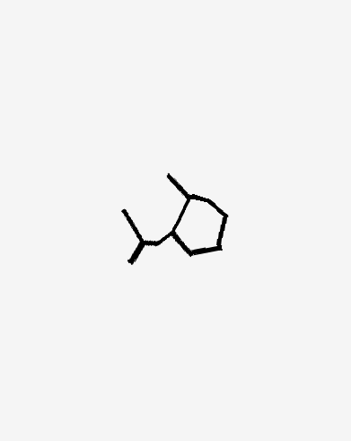 C[C]1CCCCC1C(C)C